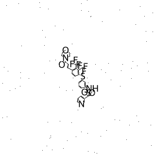 O=C(C=Cc1ccc(Sc2cccc(NS(=O)(=O)Cc3cccnc3)c2)c(C(F)(F)F)c1C(F)(F)F)N1CCOCC1